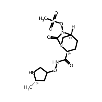 C[C@H]1CC(ONC(=O)[C@@H]2CC[C@@H]3CN2C(=O)N3OS(C)(=O)=O)CN1